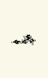 CC1CN(c2ncccc2C(=O)Nc2nnc(OCc3ccc(Cl)cc3)s2)CC(=O)N1